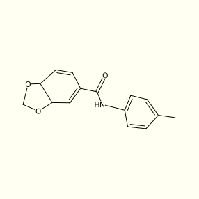 Cc1ccc(NC(=O)C2=CC3OCOC3C=C2)cc1